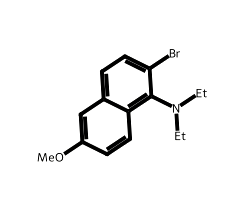 CCN(CC)c1c(Br)ccc2cc(OC)ccc12